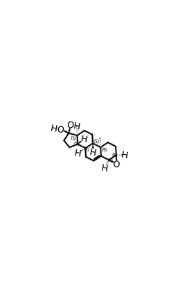 C[C@]12CC[C@H]3O[C@H]3C1=CC[C@@H]1[C@@H]2CC[C@@]2(C)[C@H]1CCC2(O)O